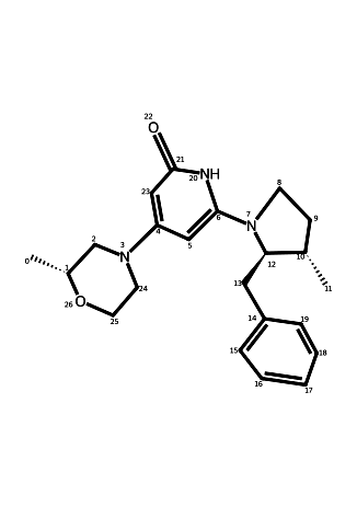 C[C@@H]1CN(c2cc(N3CC[C@H](C)[C@H]3Cc3ccccc3)[nH]c(=O)c2)CCO1